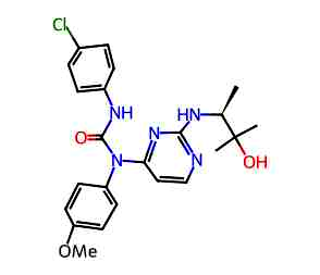 COc1ccc(N(C(=O)Nc2ccc(Cl)cc2)c2ccnc(N[C@@H](C)C(C)(C)O)n2)cc1